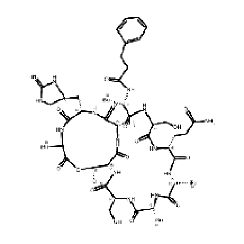 CC[C@H](C)C1NC(=O)[C@H](C[C@H]2CNC(=N)N2)NC(=O)[C@H](C)NC(=O)[C@H](NC(=O)[C@H](CO)NC(=O)[C@@H](NC(=O)[C@H](NC(=O)[C@@H](CCC(N)=O)NC(=O)[C@H](CO)NC(=O)[C@@H](NC(=O)CCc2ccccc2)[C@@H](C)CC)[C@@H](C)CC)[C@@H](C)CC)[C@H](C)OC1=O